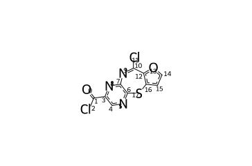 O=C(Cl)c1cnc2c(n1)N=C(Cl)c1occc1S2